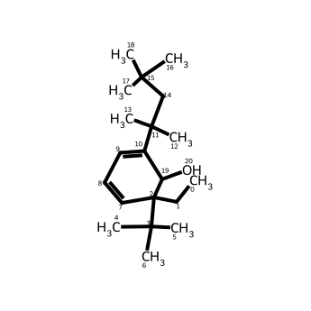 CCC1(C(C)(C)C)C=CC=C(C(C)(C)CC(C)(C)C)C1O